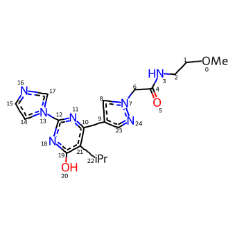 COCCNC(=O)Cn1cc(-c2nc(-n3ccnc3)nc(O)c2C(C)C)cn1